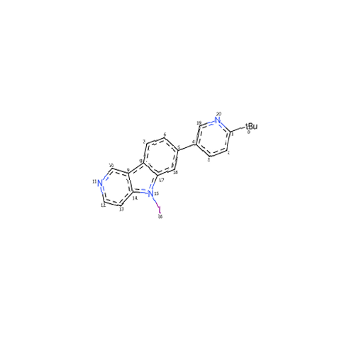 CC(C)(C)c1ccc(-c2ccc3c4cnccc4n(I)c3c2)cn1